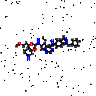 CCc1c(NC(=O)OC(CCOC)C2CCNCC2)cn2ncnc(Nc3ccc4c(cnn4Cc4ccccc4)c3)c12